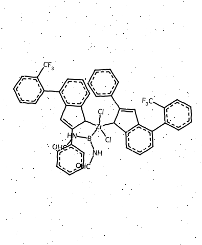 O=CN[B](NC=O)[Zr]([Cl])([Cl])([CH]1C(c2ccccc2)=Cc2c(-c3ccccc3C(F)(F)F)cccc21)[CH]1C(c2ccccc2)=Cc2c(-c3ccccc3C(F)(F)F)cccc21